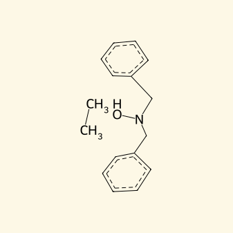 CC.ON(Cc1ccccc1)Cc1ccccc1